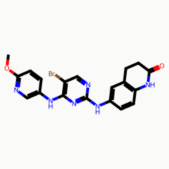 COc1ccc(Nc2nc(Nc3ccc4c(c3)CCC(=O)N4)ncc2Br)cn1